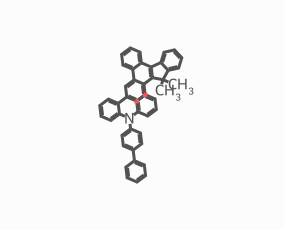 CC1(C)c2ccccc2-c2c1c1ccc(-c3ccccc3N(c3ccccc3)c3ccc(-c4ccccc4)cc3)cc1c1ccccc21